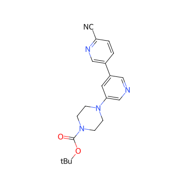 CC(C)(C)OC(=O)N1CCN(c2cncc(-c3ccc(C#N)nc3)c2)CC1